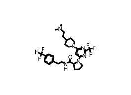 CN(C)CCC1CCN(c2cc(N3CCCC3C(=O)NCCc3ccc(C(F)(F)F)cc3)nc(C(F)(F)F)n2)CC1